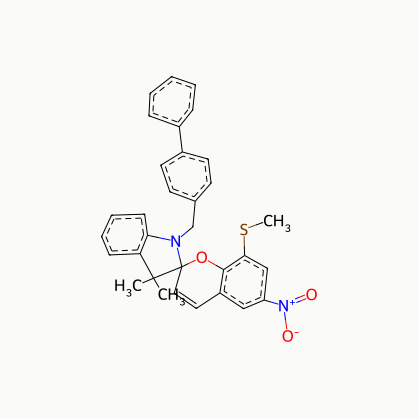 CSc1cc([N+](=O)[O-])cc2c1OC1(C=C2)N(Cc2ccc(-c3ccccc3)cc2)c2ccccc2C1(C)C